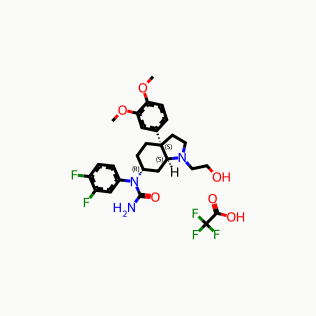 COc1ccc([C@@]23CC[C@@H](N(C(N)=O)c4ccc(F)c(F)c4)C[C@@H]2N(CCO)CC3)cc1OC.O=C(O)C(F)(F)F